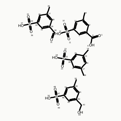 Cc1cc(C(=O)O)cc(S(=O)(=O)O)c1.Cc1cc(C)cc(S(=O)(=O)O)c1.Cc1cc(C=O)cc(S(=O)(=O)O)c1.Cc1cc(CO)cc(S(=O)(=O)O)c1